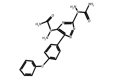 NC(=O)N(N)c1nnc(-c2ccc(Oc3ccccc3)cc2)c(N(N)C(N)=O)n1